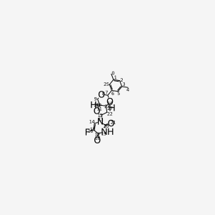 Cc1cc(C)cc(C2OC[C@H]3O[C@@H](n4cc(F)c(=O)[nH]c4=O)C[C@@H]3O2)c1